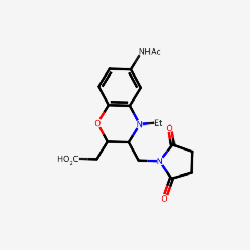 CCN1c2cc(NC(C)=O)ccc2OC(CC(=O)O)C1CN1C(=O)CCC1=O